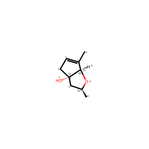 CC1=CC[C@]2(O)C[C@H](C)O[C@H]12